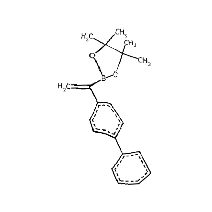 C=C(B1OC(C)(C)C(C)(C)O1)c1ccc(-c2ccccc2)cc1